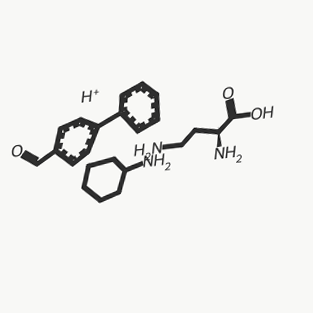 NC1CCCCC1.NCC[C@H](N)C(=O)O.O=Cc1ccc(-c2ccccc2)cc1.[H+]